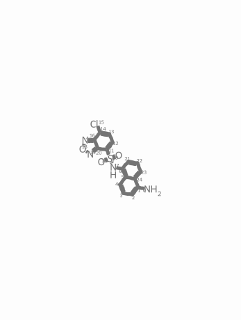 Nc1cccc2c(NS(=O)(=O)c3ccc(Cl)c4nonc34)cccc12